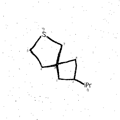 CC(C)C1CC2(CCSC2)C1